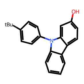 CC(C)(C)c1ccc(-n2c3ccccc3c3ccc(O)cc32)cc1